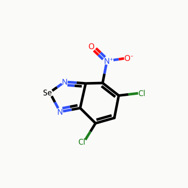 O=[N+]([O-])c1c(Cl)cc(Cl)c2n[se]nc12